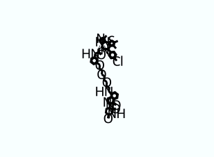 Cc1sc2c(c1C)C(c1ccc(Cl)cc1)=N[C@@H](CC(=O)Nc1cccc(OCCOCCOCCNc3cccc4c(=O)n(C5CCC(=O)NC5=O)ncc34)c1)c1nnc(C)n1-2